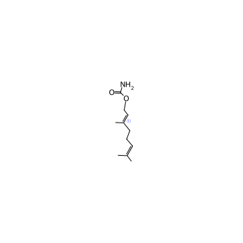 CC(C)=CCC/C(C)=C/COC(N)=O